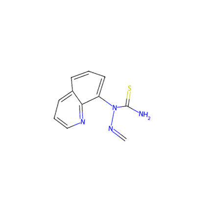 C=NN(C(N)=S)c1cccc2cccnc12